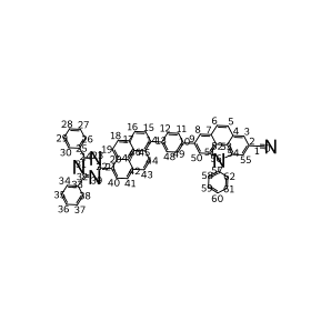 N#Cc1cc2ccc3cc(-c4ccc(-c5ccc6ccc7c(-c8nc(-c9ccccc9)nc(-c9ccccc9)n8)ccc8ccc5c6c87)cc4)cc4c3c2c(c1)n4-c1ccccc1